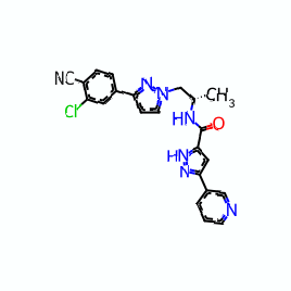 C[C@@H](Cn1ccc(-c2ccc(C#N)c(Cl)c2)n1)NC(=O)c1cc(-c2cccnc2)n[nH]1